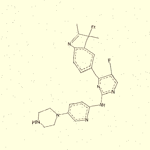 CCC1(C)C(C)=Nc2ccc(-c3nc(Nc4ccc(N5CCNCC5)cn4)ncc3F)cc21